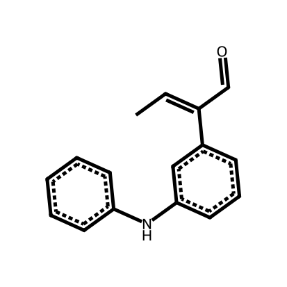 C/C=C(/C=O)c1cccc(Nc2ccccc2)c1